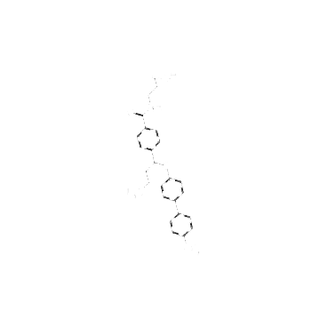 O=C(O)CCNC(=O)c1ccc(C(CCC(F)(F)F)Oc2ccc(-c3ccc(C(F)(F)F)cc3)cc2)cc1